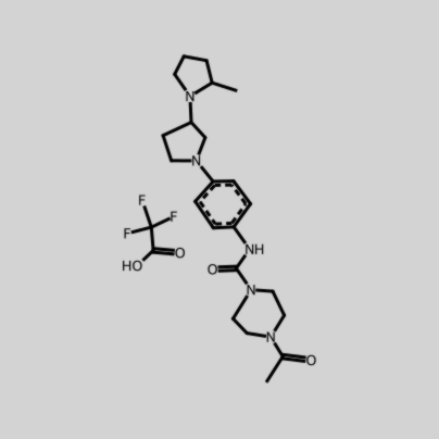 CC(=O)N1CCN(C(=O)Nc2ccc(N3CCC(N4CCCC4C)C3)cc2)CC1.O=C(O)C(F)(F)F